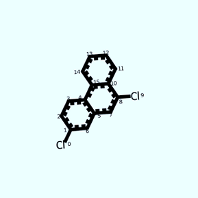 Clc1ccc2c(c1)cc(Cl)c1ccccc12